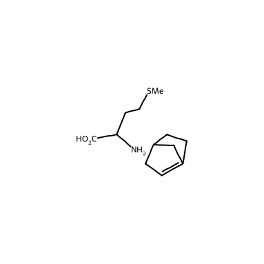 C1=C2CCC(C1)C2.CSCCC(N)C(=O)O